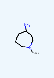 NC1CCCN(C=O)CC1